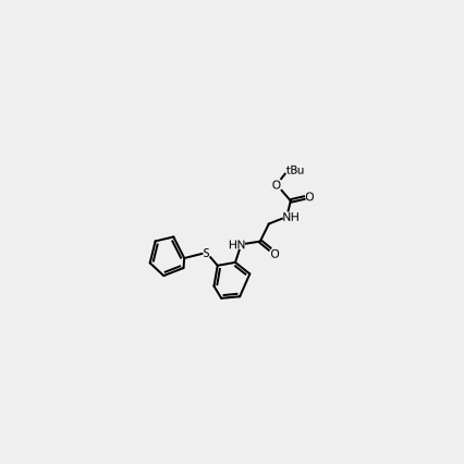 CC(C)(C)OC(=O)NCC(=O)Nc1ccccc1Sc1ccccc1